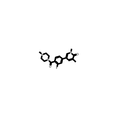 Cc1cc(-c2ccc(C(=O)N3CCN(C)CC3)c(F)c2)cn(C)c1=O